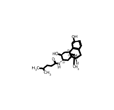 CC(C)CCC(=O)N[C@H]1C[C@@]2(O)[C@H]3Cc4ccc(O)cc4[C@@]2(CCN3C)CC1O